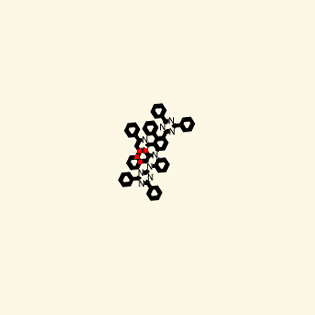 c1ccc(-c2cc(-c3ccccc3)nc(-c3c(N4c5ccccc5N(c5nc(-c6ccccc6)nc(-c6ccccc6)n5)c5ccccc54)ccc(-c4nc(-c5ccccc5)nc(-c5ccccc5)n4)c3-c3ccccc3)n2)cc1